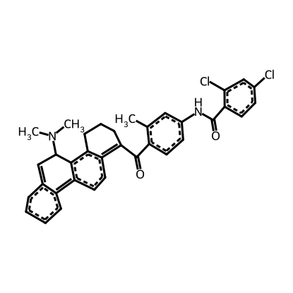 Cc1cc(NC(=O)c2ccc(Cl)cc2Cl)ccc1C(=O)C1=c2ccc3c(c2CCC1)C(N(C)C)C=c1ccccc1=3